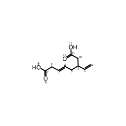 C=CC(CC=CCC(=O)O)CC(=O)O